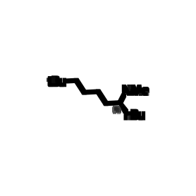 CCCC[C@@H](CCCCC(C)(C)C)NC